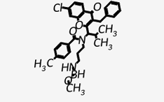 COBNCCCN(C(=O)c1ccc(C)cc1)C(c1oc2cc(Cl)ccc2c(=O)c1Cc1ccccc1)C(C)C